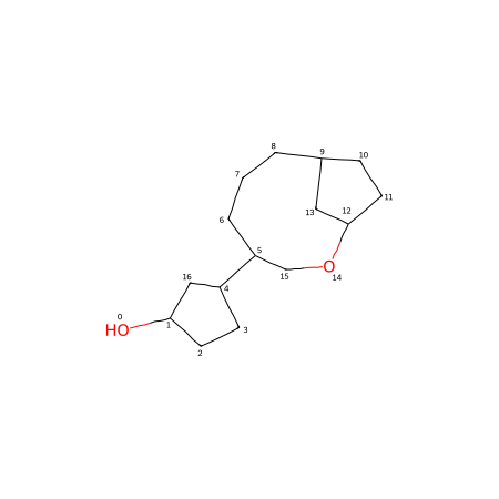 OC1CCC(C2CCCC3CCC(C3)OC2)C1